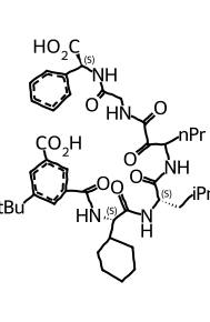 CCCC(NC(=O)[C@H](CC(C)C)NC(=O)[C@@H](NC(=O)c1cc(C(=O)O)cc(C(C)(C)C)c1)C1CCCCC1)C(=O)C(=O)NCC(=O)N[C@H](C(=O)O)c1ccccc1